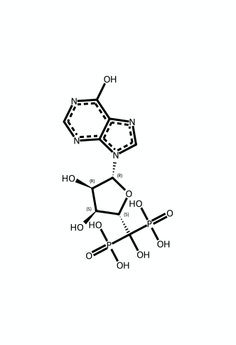 O=P(O)(O)C(O)([C@H]1O[C@@H](n2cnc3c(O)ncnc32)[C@H](O)[C@@H]1O)P(=O)(O)O